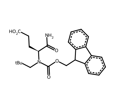 CC(C)(C)CN(C(=O)OCC1c2ccccc2-c2ccccc21)[C@@H](CCC(=O)O)C(N)=O